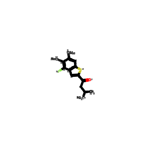 COc1cc2sc(C(=O)CC(C)C(=O)O)cc2c(F)c1OC